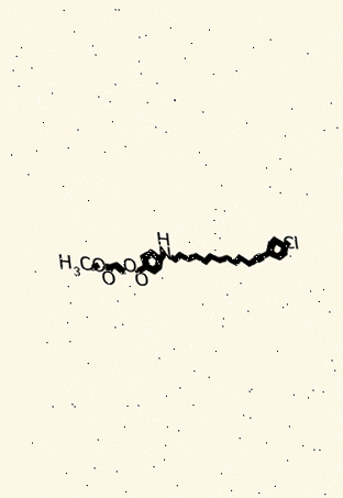 CCOC(=O)C=COC(=O)c1ccc(NCCCCCCCCCCCC#Cc2ccc(Cl)cc2)cc1